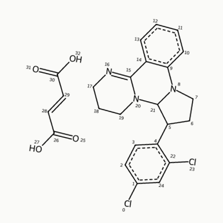 Clc1ccc(C2CCN3c4ccccc4C4=NCCCN4C23)c(Cl)c1.O=C(O)/C=C/C(=O)O